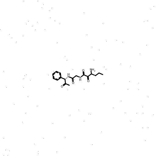 CCCC(N)C(=O)C(=O)NCC(=O)N[C@H](C(C)=O)c1ccccc1